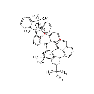 CC(C)(C)c1cc(-c2cccc3cccc(-c4ccccc4N(c4ccccc4-c4ccc5c(c4)C(C)(C)c4ccccc4-5)c4cccc5c4-c4ccccc4C5(C)C)c23)cc(C(C)(C)C)c1